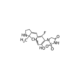 CC1(C)NCC/C1=C/c1ccc(O)c(N2CC(=O)NS2(=O)=O)c1F